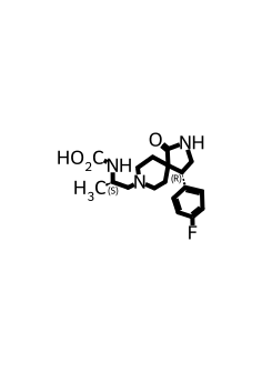 C[C@@H](CN1CCC2(CC1)C(=O)NC[C@@H]2c1ccc(F)cc1)NC(=O)O